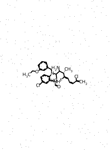 C=C(Cl)/C=C\C=C(/F)[C@@H](C)C(N)C(CO)N(Cc1cccc(OCC)c1)c1ccc(Cl)cc1NC=O